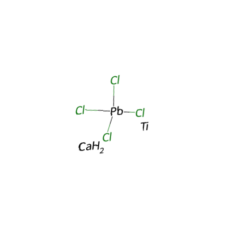 [CaH2].[Cl][Pb]([Cl])([Cl])[Cl].[Ti]